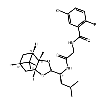 CC(C)C[C@H](NC(=O)CNC(=O)c1cc(Cl)ccc1F)B1O[C@@H]2C[C@@H]3C[C@@H](C3(C)C)[C@]2(C)O1